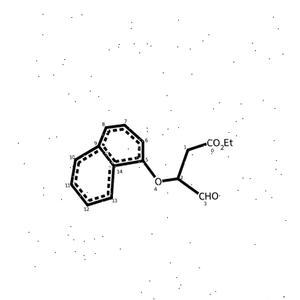 CCOC(=O)CC([C]=O)Oc1cccc2ccccc12